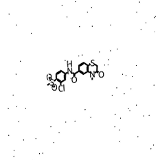 CN1C(=O)CSc2ccc(C(=O)Nc3ccc(S(C)(=O)=O)c(Cl)c3)cc21